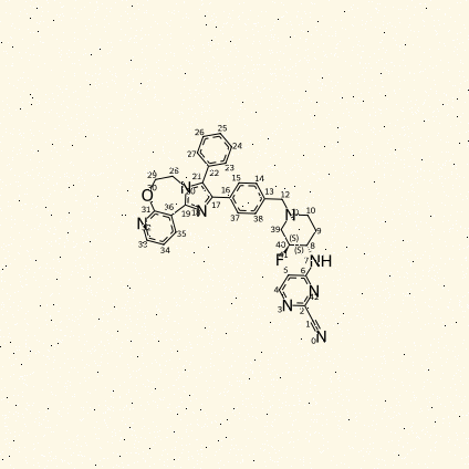 N#Cc1nccc(N[C@H]2CCN(Cc3ccc(-c4nc5n(c4-c4ccccc4)CCOc4ncccc4-5)cc3)C[C@@H]2F)n1